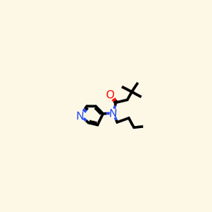 CCCCN(C(=O)CC(C)(C)C)c1ccncc1